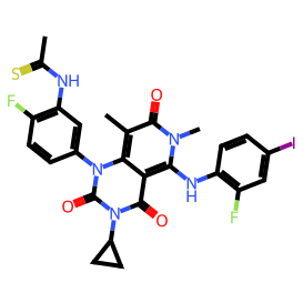 CC(=S)Nc1cc(-n2c(=O)n(C3CC3)c(=O)c3c(Nc4ccc(I)cc4F)n(C)c(=O)c(C)c32)ccc1F